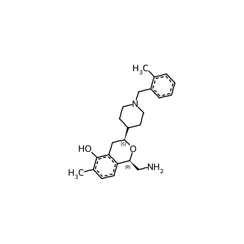 Cc1ccccc1CN1CCC([C@@H]2Cc3c(ccc(C)c3O)[C@H](CN)O2)CC1